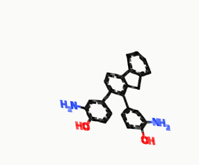 Nc1cc(-c2ccc3c(c2-c2ccc(O)c(N)c2)Cc2ccccc2-3)ccc1O